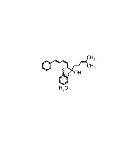 CC(C)=CCC[C@](C)(O)[C@@H](/C=C\C=C\c1ccccc1)Sc1ccccc1.O